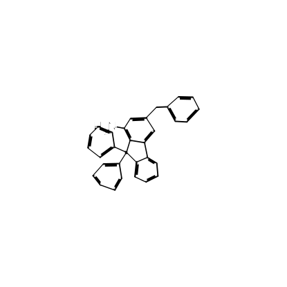 Nc1cc(Cc2ccccc2)cc2c1C(c1ccccc1)(c1ccccc1)c1ccccc1-2